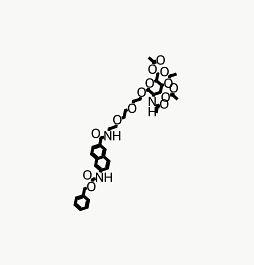 CC(=O)NC1C(OCCOCCOCCNC(=O)c2ccc3cc(NC(=O)OCc4ccccc4)ccc3c2)OC(COC(C)=O)C(OC(C)=O)C1OC(C)=O